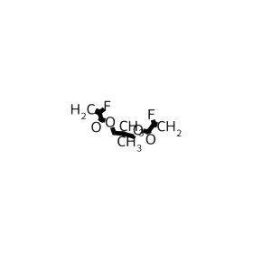 C=C(F)C(=O)OCC(C)(C)COC(=O)C(=C)F